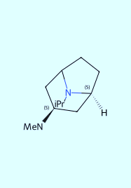 CN[C@H]1CC2CC[C@@H](C1)N2C(C)C